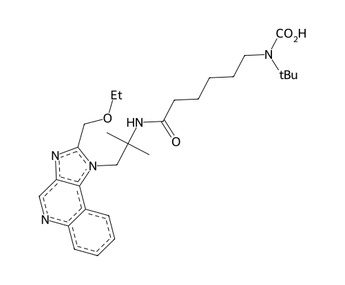 CCOCc1nc2cnc3ccccc3c2n1CC(C)(C)NC(=O)CCCCCN(C(=O)O)C(C)(C)C